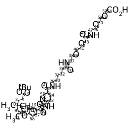 CC(C)(CCC(=O)OC(C)(C)C)CC(C)(C)Oc1ccc(S(=O)(=O)Nc2ccc(C(=O)NCCCCCC(=O)NCCOCCOCC(=O)NCCOCCOCC(=O)O)cn2)cc1